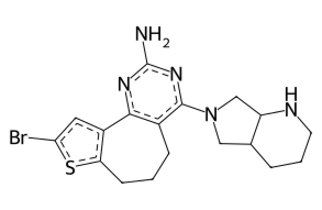 Nc1nc2c(c(N3CC4CCCNC4C3)n1)CCCc1sc(Br)cc1-2